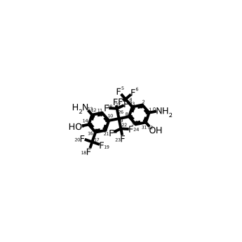 Nc1cc(C(F)(F)F)c(C(c2cc(N)c(O)c(C(F)(F)F)c2)(C(F)(F)F)C(F)(F)F)cc1O